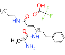 CCCNC(=O)C=C[C@H](CCc1ccccc1)NC(=O)[C@H](C)N.O=C(O)C(F)(F)F